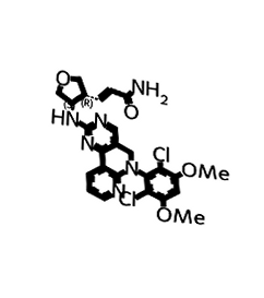 COc1cc(OC)c(Cl)c(N2Cc3cnc(N[C@@H]4COC[C@@H]4C=CC(N)=O)nc3-c3cccnc32)c1Cl